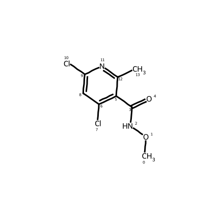 CONC(=O)c1c(Cl)cc(Cl)nc1C